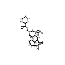 CN1CC(COC(=O)N2CCCCC2)C=C2c3cccc4[nH]c(Br)c(c34)C[C@@H]21